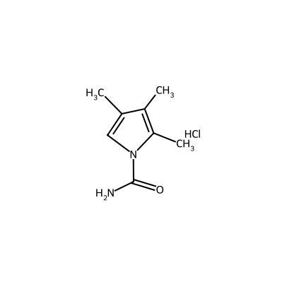 Cc1cn(C(N)=O)c(C)c1C.Cl